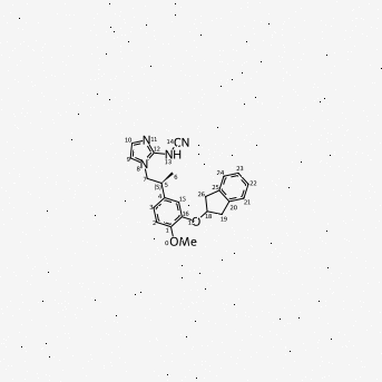 COc1ccc([C@H](C)Cn2ccnc2NC#N)cc1OC1Cc2ccccc2C1